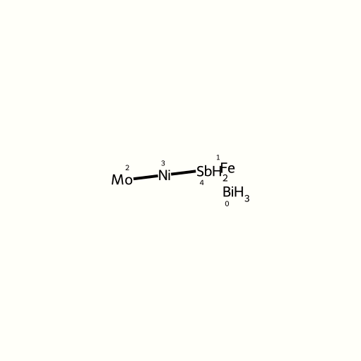 [BiH3].[Fe].[Mo][Ni][SbH2]